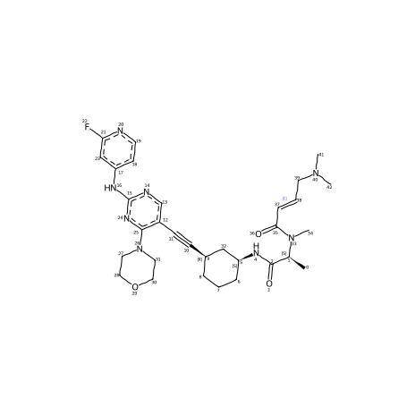 C[C@@H](C(=O)N[C@H]1CCC[C@@H](C#Cc2cnc(Nc3ccnc(F)c3)nc2N2CCOCC2)C1)N(C)C(=O)/C=C/CN(C)C